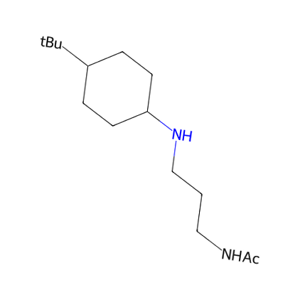 CC(=O)NCCCNC1CCC(C(C)(C)C)CC1